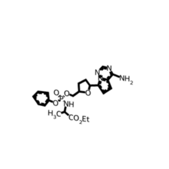 CCOC(=O)C(C)NP(=O)(OCC1CCC(c2ccc3c(N)ncnn23)O1)Oc1ccccc1